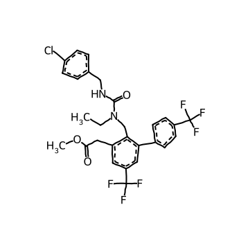 CCN(Cc1c(CC(=O)OC)cc(C(F)(F)F)cc1-c1ccc(C(F)(F)F)cc1)C(=O)NCc1ccc(Cl)cc1